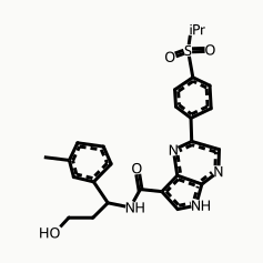 Cc1cccc(C(CCO)NC(=O)c2c[nH]c3ncc(-c4ccc(S(=O)(=O)C(C)C)cc4)nc23)c1